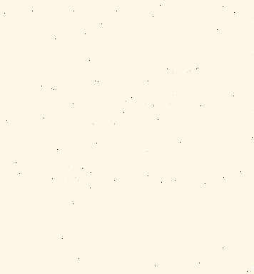 CP(=O)(CCc1cc(Cl)c(CN[C@@H](CCCCNS(C)(=O)=O)C(=O)O)c(Cl)c1)c1cccc(O)c1